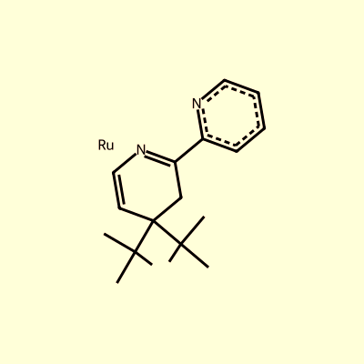 CC(C)(C)C1(C(C)(C)C)C=CN=C(c2ccccn2)C1.[Ru]